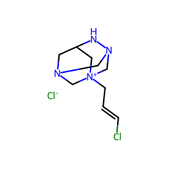 Cl/C=C/C[N+]12CC3CN(CN(C1)N3)C2.[Cl-]